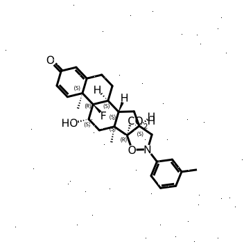 Cc1cccc(N2C[C@@H]3C[C@H]4[C@@H]5CCC6=CC(=O)C=C[C@]6(C)[C@@]5(F)[C@@H](O)C[C@]4(C)[C@]3(C(=O)O)O2)c1